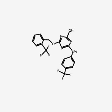 Oc1nc(Nc2ccc(C(F)(F)F)cc2)nc(OCc2ccccc2C(F)(F)F)n1